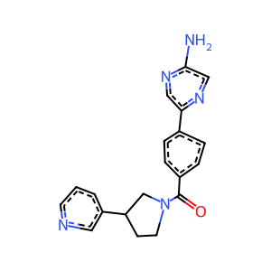 Nc1cnc(-c2ccc(C(=O)N3CCC(c4cccnc4)C3)cc2)cn1